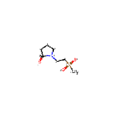 [CH2]S(=O)(=O)CCN1CCCC1=O